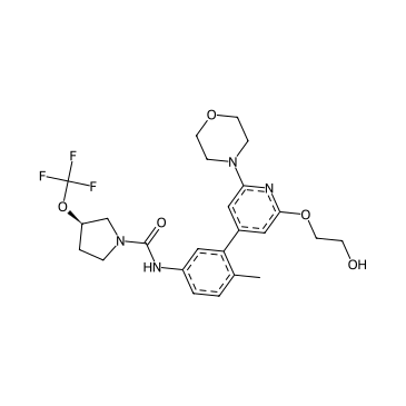 Cc1ccc(NC(=O)N2CC[C@@H](OC(F)(F)F)C2)cc1-c1cc(OCCO)nc(N2CCOCC2)c1